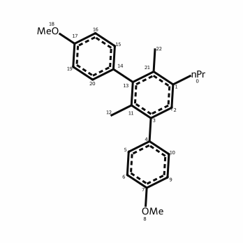 CCCc1[c]c(-c2ccc(OC)cc2)c(C)c(-c2ccc(OC)cc2)c1C